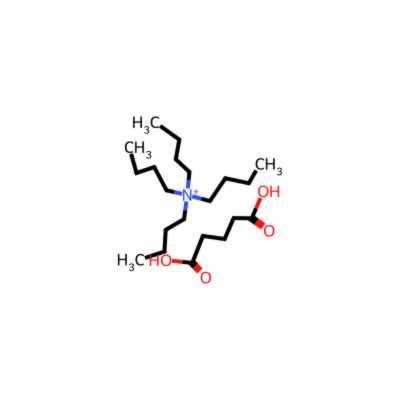 CCCC[N+](CCCC)(CCCC)CCCC.O=C(O)CCCC(=O)O